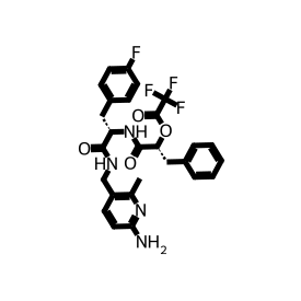 Cc1nc(N)ccc1CNC(=O)[C@H](Cc1ccc(F)cc1)NC(=O)[C@@H](Cc1ccccc1)OC(=O)C(F)(F)F